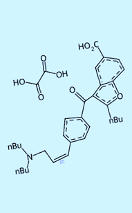 CCCCc1oc2ccc(C(=O)O)cc2c1C(=O)c1ccc(/C=C\CN(CCCC)CCCC)cc1.O=C(O)C(=O)O